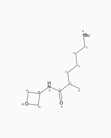 CC(CCCCC(C)(C)C)C(=O)NC1COC1